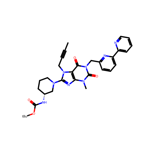 CC#CCn1c(N2CCC[C@@H](NC(=O)OC(C)(C)C)C2)nc2c1c(=O)n(Cc1cccc(-c3ccccn3)n1)c(=O)n2C